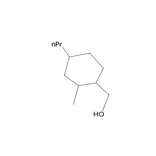 CCCC1CCC(CO)C(C)C1